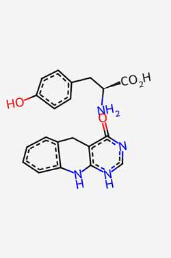 N[C@@H](Cc1ccc(O)cc1)C(=O)O.O=c1nc[nH]c2c1Cc1ccccc1N2